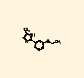 CCOc1cccc(-c2n[c]c(C)[nH]2)c1